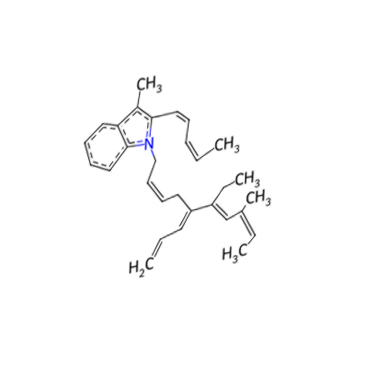 C=C/C=C(C/C=C\Cn1c(/C=C\C=C/C)c(C)c2ccccc21)/C(=C/C(C)=C\C)CC